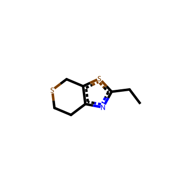 CCc1nc2c(s1)CSCC2